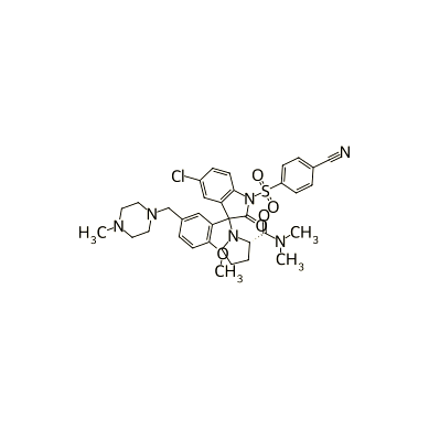 COc1ccc(CN2CCN(C)CC2)cc1C1(N2CCC[C@H]2C(=O)N(C)C)C(=O)N(S(=O)(=O)c2ccc(C#N)cc2)c2ccc(Cl)cc21